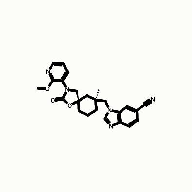 COc1ncccc1N1C[C@@]2(CCC[C@](C)(Cn3cnc4ccc(C#N)cc43)C2)OC1=O